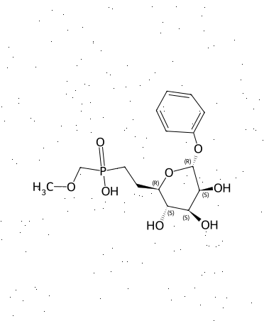 COCP(=O)(O)CC[C@H]1O[C@H](Oc2ccccc2)[C@@H](O)[C@@H](O)[C@@H]1O